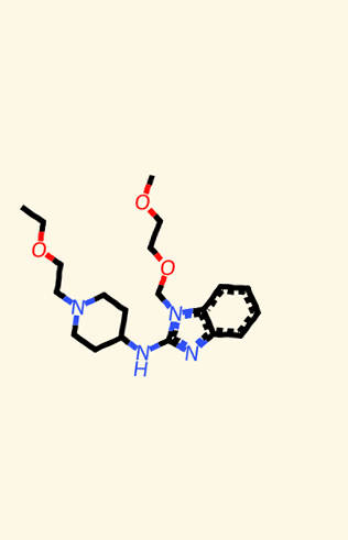 CCOCCN1CCC(Nc2nc3ccccc3n2COCCOC)CC1